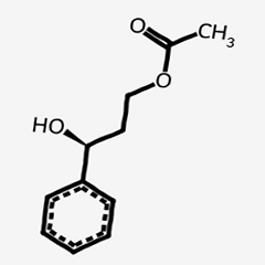 CC(=O)OCC[C@H](O)c1ccccc1